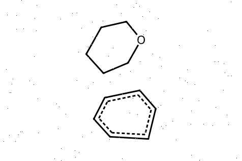 C1CCOCC1.c1ccccc1